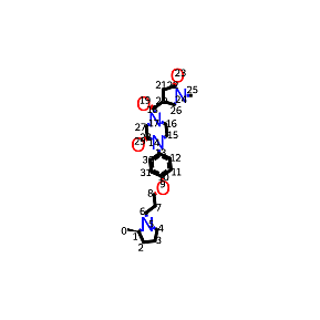 C[C@@H]1CCCN1CCCOc1ccc(N2CCN(C(=O)C3CC(=O)N(C)C3)CC2=O)cc1